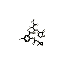 CNC(=O)C(=O)C(C[C@@H]1CCNC1=O)NC(=O)c1cc(Cl)ccc1NC(=O)OC1(C)CC1